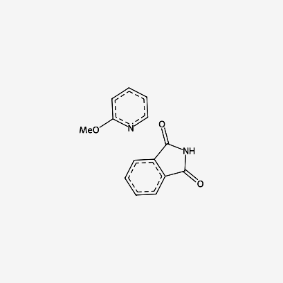 COc1ccccn1.O=C1NC(=O)c2ccccc21